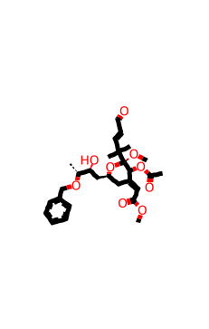 COC(=O)/C=C1\C[C@@H](C[C@@H](O)[C@@H](C)OCc2ccccc2)O[C@@](OC)(C(C)(C)/C=C/C=O)C1OC(C)=O